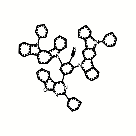 N#Cc1c(-n2c3ccccc3c3cc4c(cc32)c2ccccc2n4-c2ccccc2)cc(-c2nc(-c3ccccc3)nc3oc4ccccc4c23)cc1-n1c2ccccc2c2c1ccc1c3ccccc3n(-c3ccccc3)c12